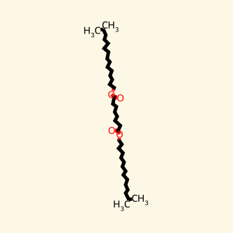 CC(C)CCCCCCCCCCCCCOC(=O)CCCCCCC(=O)OCCCCCCCCCCCCCC(C)C